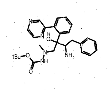 CN(CC(O)(c1ccccc1-c1cnccn1)C(N)Cc1ccccc1)NC(=O)OC(C)(C)C